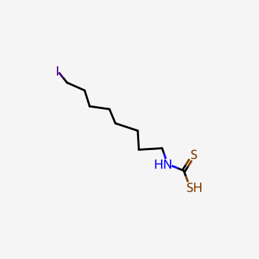 S=C(S)NCCCCCCCCI